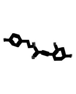 O=C(C#Cc1ccc(F)cc1F)NCCc1ccc(F)cc1